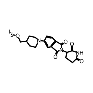 O=C1CCC(N2C(=O)c3ccc(N4CCC(COSI)CC4)cc3C2=O)C(=O)N1